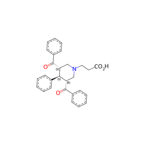 O=C(O)CCN1C[C@H](C(=O)c2ccccc2)[C@@H](c2ccccc2)[C@H](C(=O)c2ccccc2)C1